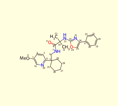 COc1ccc(C2(CNC(=O)C(C)(C)Nc3nc(-c4ccccc4)co3)CCCCC2)nc1